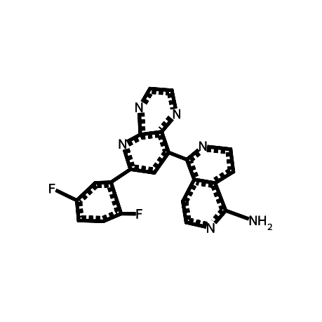 Nc1nccc2c(-c3cc(-c4cc(F)ccc4F)nc4nccnc34)nccc12